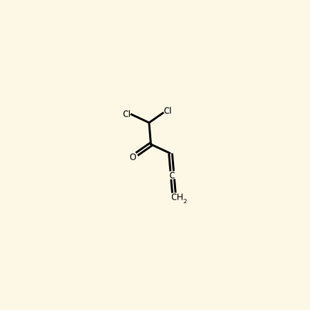 C=C=CC(=O)C(Cl)Cl